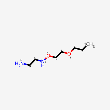 CCCOCCONCCN